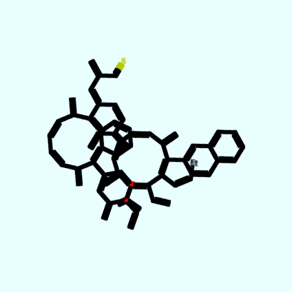 C=CC(=C)/C=C\C(=C/C(=C)C=S)c1c(=C)ccccc(=C)c(C(/C=C\C(=C)C=C)=C/C(=C)C(=C)c2c(C=C)c(/C=C\CC)c(-c3ccc4ccccc4c3)c(=C)ccccc2=C)c2ccccc12